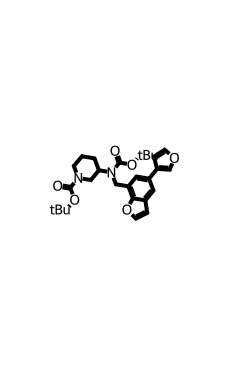 CC(C)(C)OC(=O)N1CCCC(N(Cc2cc(-c3ccoc3)cc3ccoc23)C(=O)OC(C)(C)C)C1